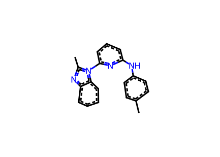 Cc1ccc(Nc2cccc(-n3c(C)nc4ccccc43)n2)cc1